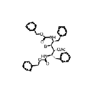 CC(=O)O[C@@H]([C@@H](Br)[C@H](Cc1ccccc1)NC(=O)OCc1ccccc1)[C@H](Cc1ccccc1)NC(=O)OCc1ccccc1